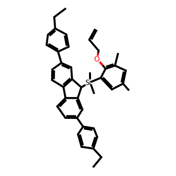 C=CCOc1c(C)cc(C)cc1[Si](C)(C)C1c2cc(-c3ccc(CC)cc3)ccc2-c2ccc(-c3ccc(CC)cc3)cc21